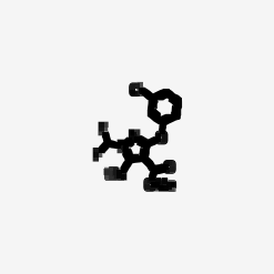 COC(=O)c1c(Oc2cccc(Cl)c2)nn(C(F)F)c1C(C)(C)C